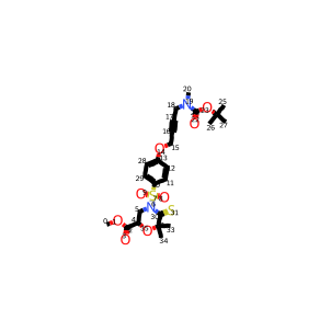 COC(=O)C1CN(S(=O)(=O)c2ccc(OCC#CCN(C)C(=O)OC(C)(C)C)cc2)C(=S)C(C)(C)O1